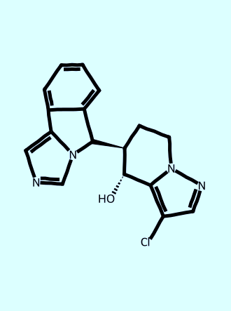 O[C@H]1c2c(Cl)cnn2CC[C@@H]1C1c2ccccc2-c2cncn21